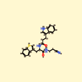 N#CCCNC(=O)C(Cc1csc2ccccc12)NC(=O)CCc1c[nH]c2ccccc12